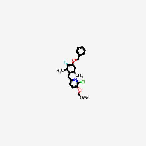 COCOc1ccc(CC2C(C)CC(OCc3ccccc3)=C(F)C2C)nc1Cl